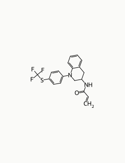 C=CC(=O)NC1Cc2ccccc2N(c2ccc(SC(F)(F)F)cc2)C1